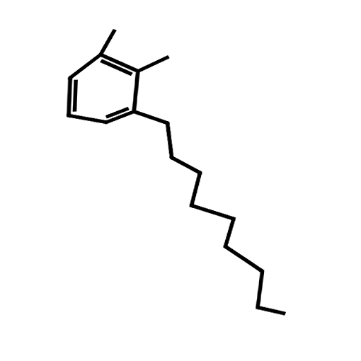 CCCCCCCCCc1cccc(C)c1C